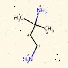 CC(C)(N)CCN